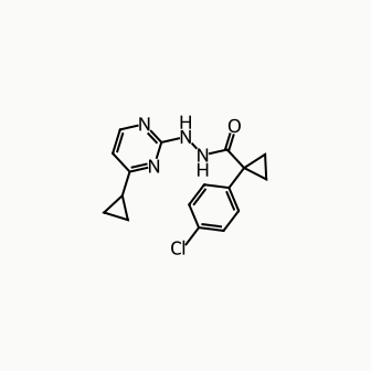 O=C(NNc1nccc(C2CC2)n1)C1(c2ccc(Cl)cc2)CC1